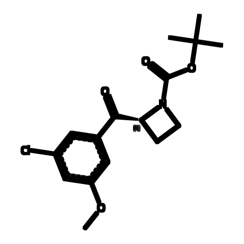 COc1cc(Cl)cc(C(=O)[C@H]2CCN2C(=O)OC(C)(C)C)c1